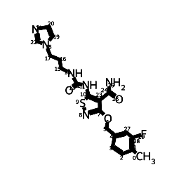 Cc1ccc(COc2nsc(NC(=O)NCCCn3ccnc3)c2C(N)=O)cc1F